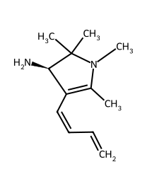 C=C/C=C\C1=C(C)N(C)C(C)(C)[C@@H]1N